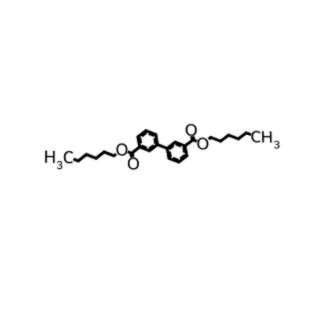 CCCCCCOC(=O)c1cccc(-c2cccc(C(=O)OCCCCCC)c2)c1